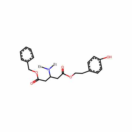 CCN(CC)C(CC(=O)OCCc1ccc(O)cc1)CC(=O)OCc1ccccc1